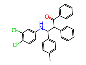 Cc1ccc(C(Nc2ccc(Cl)c(Cl)c2)C(C(=O)c2ccccc2)c2ccccc2)cc1